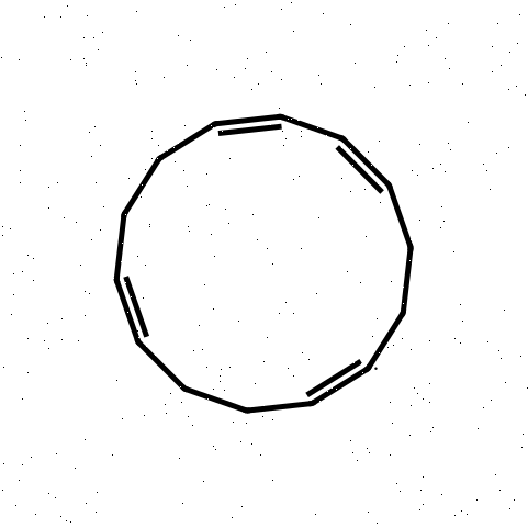 [C]1=CCCC=CCCC=CC=CCC1